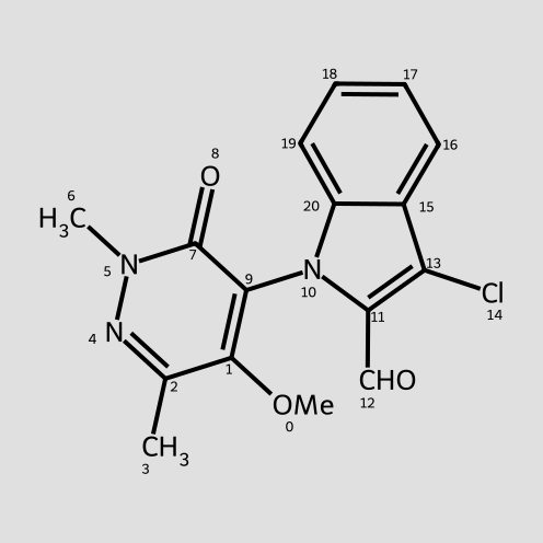 COc1c(C)nn(C)c(=O)c1-n1c(C=O)c(Cl)c2ccccc21